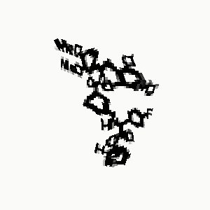 COc1ccc(C(Cc2c(Cl)c[n+]([O-])cc2Cl)OC(=O)c2cccc(CN[C@H](C(=O)O[C@H]3CN4CCC3CC4)c3ccc(F)cc3)c2)cc1OC